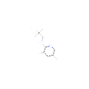 CC(C)(O)CNc1ncc(I)cc1F